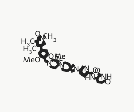 COc1cc(-c2cn(C)c(=O)c(C)c2C)cc(OC)c1CN1CCC(N2CCC3(CC2)CN(c2ccc(C(=O)NC4CCC(=O)NC4=O)nc2)C3)C(F)(F)C1